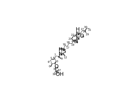 C=C/C(=C\C(=C/C)CC(=C)NC(=C)SC(=C)CCCCc1ccc(NC(=O)C/C(C)=C/C)nn1)OCC(C)(C)O